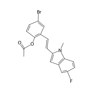 CC(=O)Oc1ccc(Br)cc1C=Cc1cc2cc(F)ccc2n1C